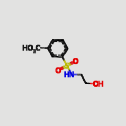 O=C(O)c1cccc(S(=O)(=O)NCCO)c1